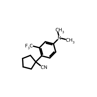 CN(C)c1ccc(C2(C#N)CCCC2)c(C(F)(F)F)c1